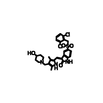 Cc1[nH]c(/C=C2\C(=O)Nc3ccc(S(=O)(=O)Cc4c(Cl)cccc4Cl)cc32)c(C)c1CN1CCC(O)CC1